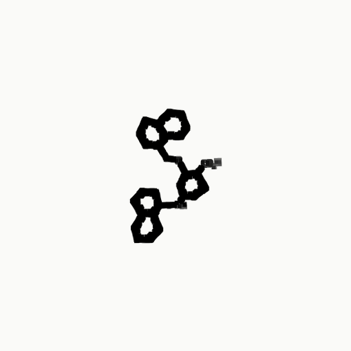 O=C(O)c1ccc(Nc2cccc3ccccc23)cc1OCc1cccc2ccccc12